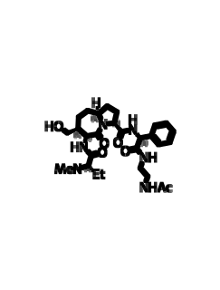 CC[C@H](NC)C(=O)N[C@@H]1C(=O)N2[C@@H](CC[C@@H]1CO)CC[C@H]2C(=O)N[C@H](C(=O)NCCNC(C)=O)c1ccccc1